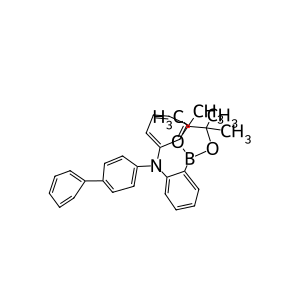 CC1(C)OB(c2ccccc2N(c2ccccc2)c2ccc(-c3ccccc3)cc2)OC1(C)C